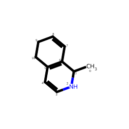 CC1NC=CC2=C1C=CCC2